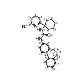 N#Cc1nccc(C2(NC(=O)Nc3ccc(-c4ccccc4C(F)(F)F)c(C(F)(F)F)c3)CCCCC2)n1